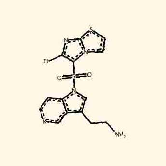 NCCc1cn(S(=O)(=O)c2c(Cl)nc3sccn23)c2ccncc12